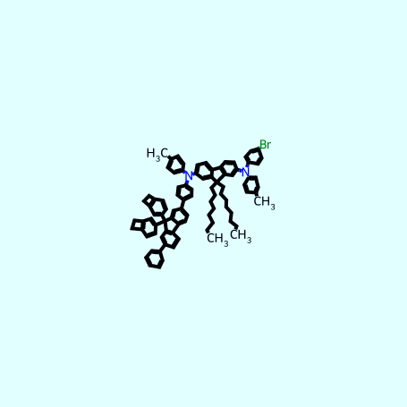 CCCCCCCCC1(CCCCCCCC)c2cc(N(c3ccc(C)cc3)c3ccc(Br)cc3)ccc2-c2ccc(N(c3ccc(C)cc3)c3ccc(-c4ccc5c(c4)C(c4ccc6c(c4)CC6)(c4ccc6c(c4)CC6)c4cc(-c6ccccc6)ccc4-5)cc3)cc21